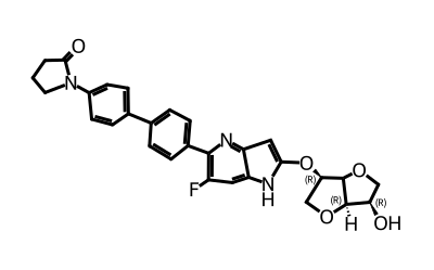 O=C1CCCN1c1ccc(-c2ccc(-c3nc4cc(O[C@@H]5CO[C@H]6C5OC[C@H]6O)[nH]c4cc3F)cc2)cc1